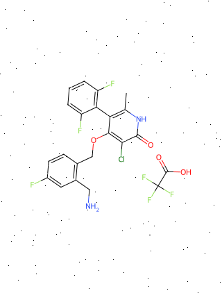 Cc1[nH]c(=O)c(Cl)c(OCc2ccc(F)cc2CN)c1-c1c(F)cccc1F.O=C(O)C(F)(F)F